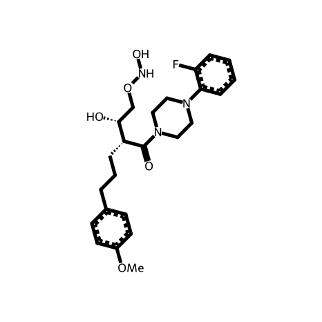 COc1ccc(CCC[C@@H](C(=O)N2CCN(c3ccccc3F)CC2)[C@H](O)CONO)cc1